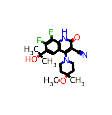 COC1(C)CCN(c2c(C#N)c(=O)[nH]c3c(F)c(F)c(C(C)(C)O)cc23)CC1